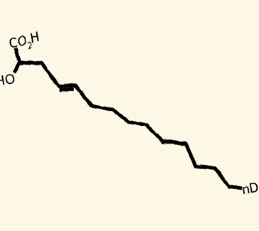 CCCCCCCCCCCCCCCCCCCC=CCC(O)C(=O)O